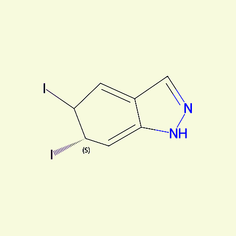 IC1C=c2cn[nH]c2=C[C@@H]1I